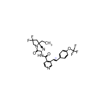 CCC1(C#N)CC(F)(F)CN1C(=O)CNC(=O)c1ccncc1/C=C/c1ccc(OC(F)(F)F)cc1